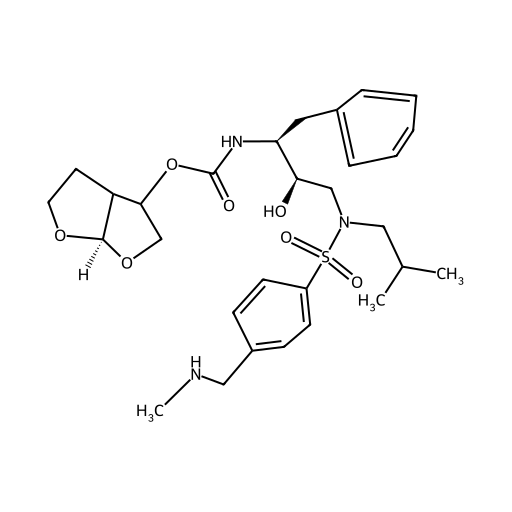 CNCc1ccc(S(=O)(=O)N(CC(C)C)C[C@@H](O)[C@H](Cc2ccccc2)NC(=O)OC2CO[C@H]3OCCC23)cc1